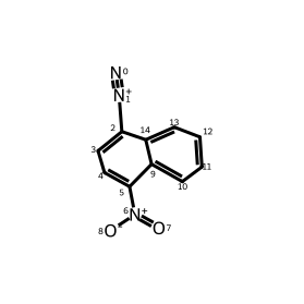 N#[N+]c1ccc([N+](=O)[O-])c2ccccc12